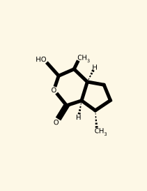 CC1C(O)OC(=O)[C@H]2[C@@H]1CC[C@@H]2C